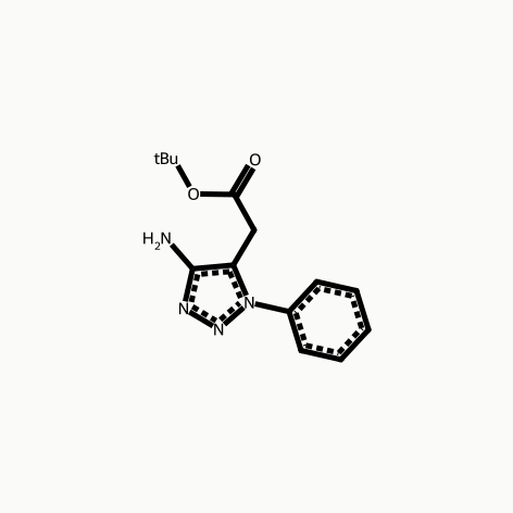 CC(C)(C)OC(=O)Cc1c(N)nnn1-c1ccccc1